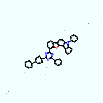 c1ccc(-c2ccc(-c3nc(-c4ccccc4)nc(-c4cccc5c4oc4c5ccc5c4c4ccccc4n5-c4ccccc4)n3)cc2)cc1